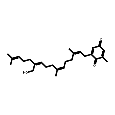 CC(C)=CCCC(=CCCC(C)=CCCC(C)=CCC1=CC(=O)C=C(C)C1=O)CO